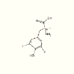 C[C@](N)(Cc1cc(F)c(O)c(F)c1)C(=O)O